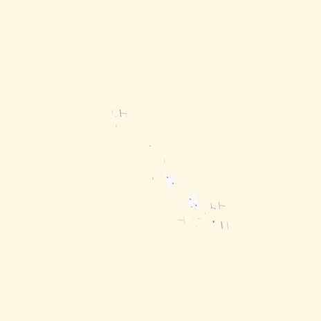 COc1ccc(S(=O)(=O)N2CCN(C(C)(C)C)CC2)cc1